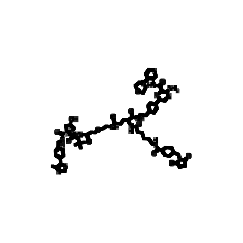 Cc1ncsc1-c1ccc(CNC(=O)[C@@H]2C[C@@H](O)CN2C(=O)C(NC(=O)CCOCCNC(=O)CCC(NC(=O)CCCCCNC(=O)C2CCC(CN3C(=O)C=CC3=O)CC2)C(=O)NCCc2ccc(-c3cnc(N)c(C(=O)Nc4cnccc4N4CCOCC4)n3)cc2)C(C)(C)C)cc1